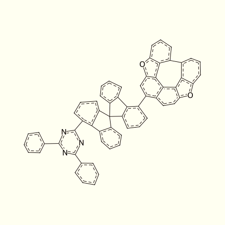 c1ccc(-c2nc(-c3ccccc3)nc(-c3cccc4c3-c3ccccc3C43c4ccccc4-c4c(-c5cc6oc7cccc8c7c6c6c5ccc5oc7cccc-8c7c56)cccc43)n2)cc1